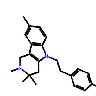 Cc1ccc2c(c1)c1c(n2CCc2ccc(F)cc2)CC(C)(C)N(C)C1